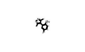 Cc1noc(C)c1-c1cc(F)ccc1C(C)(C)C